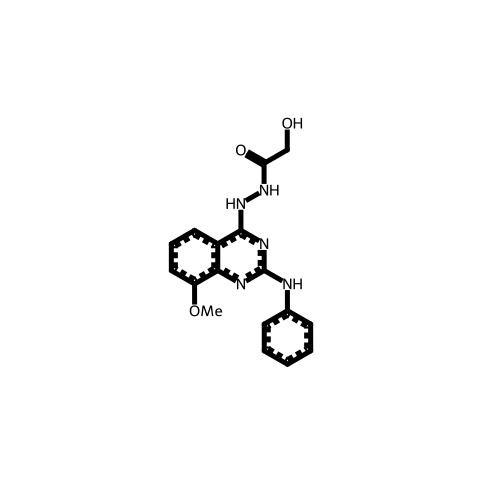 COc1cccc2c(NNC(=O)CO)nc(Nc3ccccc3)nc12